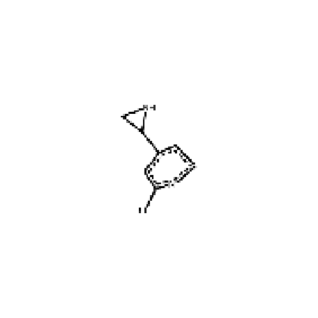 Clc1cc(C2CN2)ccn1